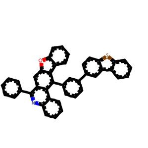 c1ccc(-c2nc3ccccc3c3c(-c4cccc(-c5ccc6sc7ccccc7c6c5)c4)c4c(cc23)oc2ccccc24)cc1